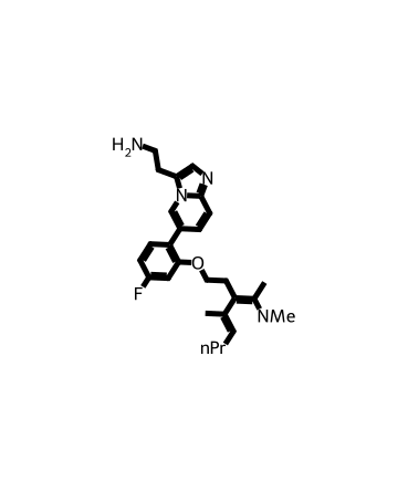 CCC/C=C(C)/C(CCOc1cc(F)ccc1-c1ccc2ncc(CCN)n2c1)=C(/C)NC